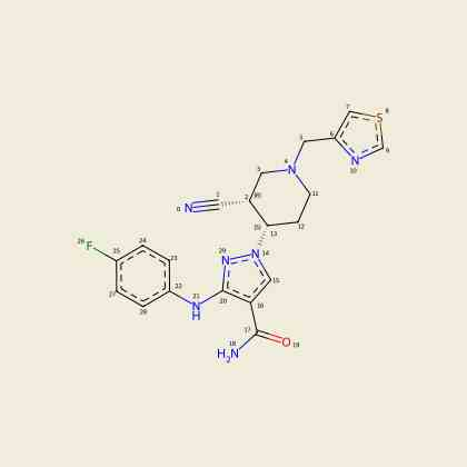 N#C[C@@H]1CN(Cc2cscn2)CC[C@@H]1n1cc(C(N)=O)c(Nc2ccc(F)cc2)n1